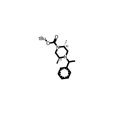 CC(c1ccccc1)N1C[C@@H](C)N(C(=O)OC(C)(C)C)C[C@@H]1C